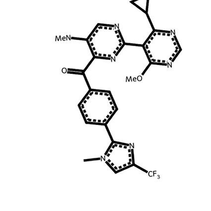 CNc1cnc(-c2c(OC)ncnc2C2CC2)nc1C(=O)c1ccc(-c2nc(C(F)(F)F)cn2C)cc1